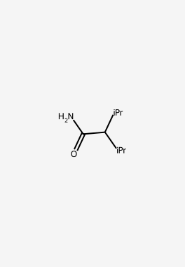 CC(C)C(C(N)=O)C(C)C